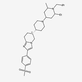 CCC1CC(N2CCC([C@H]3CCc4nc(-c5ccc(S(C)(=O)=O)cc5)cn4C3)CC2)CC(C)N1CC(C)C